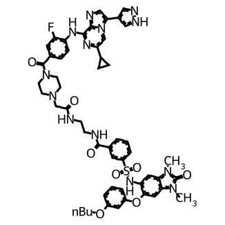 CCCCOc1cccc(Oc2cc3c(cc2NS(=O)(=O)c2cccc(C(=O)NCCNC(=O)CN4CCN(C(=O)c5ccc(Nc6nc(C7CC7)cn7c(-c8cn[nH]c8)cnc67)c(F)c5)CC4)c2)n(C)c(=O)n3C)c1